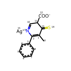 CC1=C(c2ccccc2)N=CC(C(=O)[O-])C1=S.[Ag+]